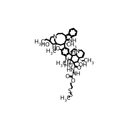 CC[C@]1(O)C[C@H]2CN(CCc3c([nH]c4ccccc34)[C@@](C)(c3cc4c(cc3OC)N(C)[C@H]3[C@@](O)(C(=O)NNC(=O)OCCSSC)[C@H](O)[C@]5(CC)C=CCN6CC[C@]43[C@@H]65)C2)C1